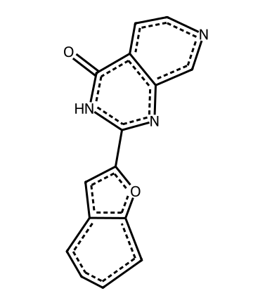 O=c1[nH]c(-c2cc3ccccc3o2)nc2cnccc12